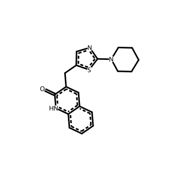 O=c1[nH]c2ccccc2cc1Cc1cnc(N2CCCCC2)s1